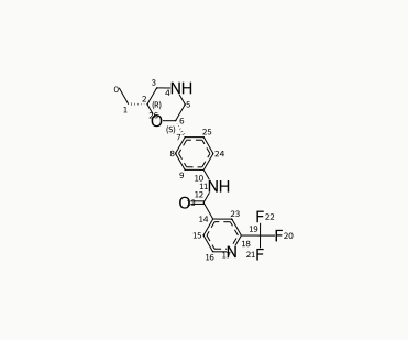 CC[C@@H]1CNC[C@H](c2ccc(NC(=O)c3ccnc(C(F)(F)F)c3)cc2)O1